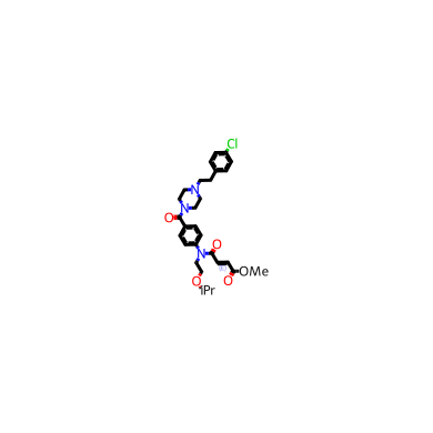 COC(=O)/C=C/C(=O)N(CCOC(C)C)c1ccc(C(=O)N2CCN(CCc3ccc(Cl)cc3)CC2)cc1